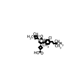 CC(C)(C)CCc1ccc([C@]2(C)NC(=O)N(C3CC(C)(C)C3)C=C2[C@H]2C[C@H](C(=O)O)C2)cc1Cl